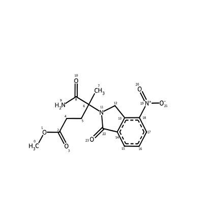 COC(=O)CCC(C)(C(N)=O)N1Cc2c(cccc2[N+](=O)[O-])C1=O